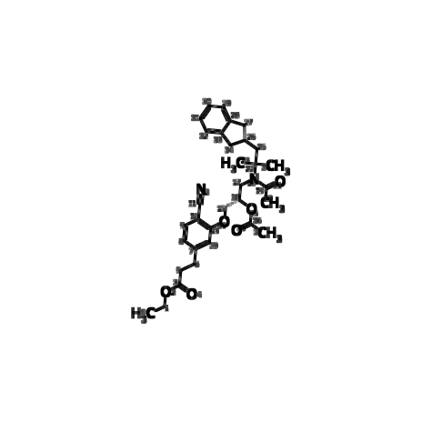 CCOC(=O)CCc1ccc(C#N)c(OC[C@H](CN(C(C)=O)C(C)(C)CC2Cc3ccccc3C2)OC(C)=O)c1